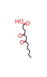 CCCCCC(=O)CC(=O)CCC(=O)O